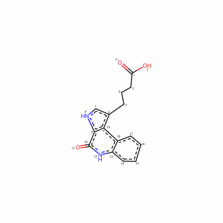 O=C(O)CCCc1c[nH]c2c(=O)[nH]c3ccccc3c12